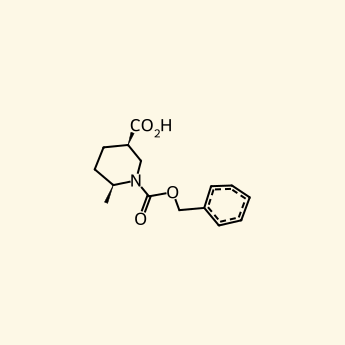 C[C@H]1CC[C@@H](C(=O)O)CN1C(=O)OCc1ccccc1